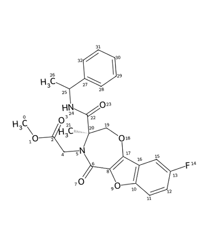 COC(=O)CN1C(=O)c2oc3ccc(F)cc3c2OC[C@]1(C)C(=O)NC(C)c1ccccc1